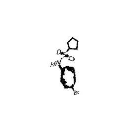 O=S(=O)(Nc1ccc(Br)cc1)C1CCCC1